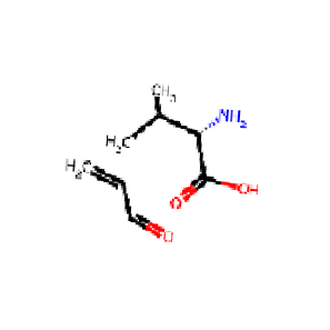 C=CC=O.CC(C)[C@H](N)C(=O)O